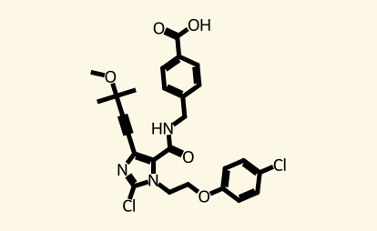 COC(C)(C)C#Cc1nc(Cl)n(CCOc2ccc(Cl)cc2)c1C(=O)NCc1ccc(C(=O)O)cc1